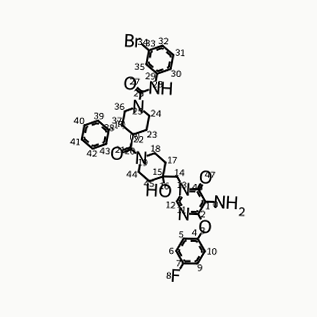 Nc1c(Oc2ccc(F)cc2)ncn(CC2(O)CCN(C(=O)[C@@H]3CCN(C(=O)Nc4cccc(Br)c4)C[C@H]3c3ccccc3)CC2)c1=O